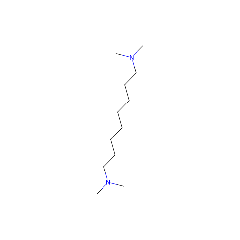 CN(C)CCCCCCCCN(C)C